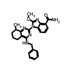 COc1nc2c(C(N)=O)cccc2n1-c1nc(NCc2ccccc2)c2c(n1)C(C)CCC2